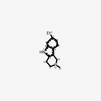 CCc1ccc2c3c([nH]c2c1)CCN(C)C3